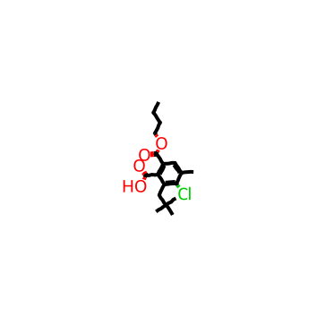 CCCCOC(=O)c1cc(C)c(Cl)c(CC(C)(C)C)c1C(=O)O